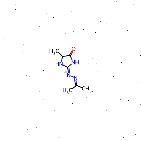 CC(C)=N/N=C1\NC(=O)C(C)N1